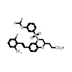 O=C(O)CCC1CN(S(=O)(=O)c2cccc(OC(F)F)c2)c2cc(C=Cc3c(F)cccc3C(F)(F)F)ccc2O1